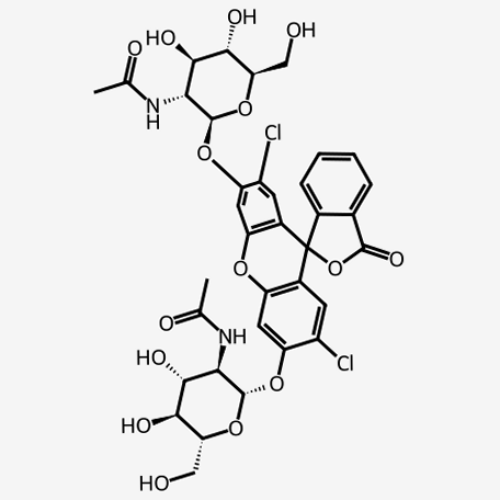 CC(=O)N[C@H]1[C@H](Oc2cc3c(cc2Cl)C2(OC(=O)c4ccccc42)c2cc(Cl)c(O[C@@H]4O[C@H](CO)[C@@H](O)[C@H](O)[C@H]4NC(C)=O)cc2O3)O[C@H](CO)[C@@H](O)[C@@H]1O